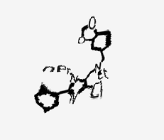 CCCn1c(-c2ccccc2)nc(Cl)c1CN(CC)CC1=CC2OCOC2C=C1